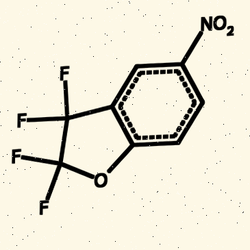 O=[N+]([O-])c1ccc2c(c1)C(F)(F)C(F)(F)O2